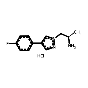 C[C@H](N)Cn1cc(-c2ccc(F)cc2)cn1.Cl